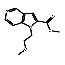 COCCn1c(C(=O)OC)cc2cnccc21